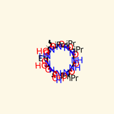 C/C=C/C[C@@H](C)[C@@H](O)[C@H]1C(=O)N[C@@H](CC)C(=O)N(C)C(CO)C(=O)N(C)[C@@H](CC(C)(C)O)C(=O)N[C@H](C(C)C)C(=O)N(C)[C@H](CCC(C)C)C(=O)N[C@H](C)C(=O)N[C@@H](C)C(=O)N(C)[C@@H](CC(C)C)C(=O)N(C)[C@@H](CC(C)C)C(=O)N(C)[C@@H](C(C)C)C(=O)N1C